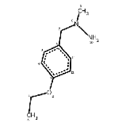 CCOc1ccc(CN(C)N)cc1